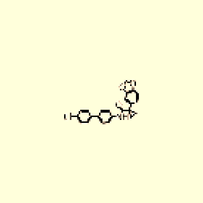 O=C(Nc1ccc(-c2ccc(Cl)cc2)cc1)C1(c2ccc3c(c2)OCO3)CC1